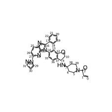 C=CC(=O)N1CCC(N[C@H]2COc3cc(-n4c(-c5ccccc5)nc5ccc(-n6cccn6)nc54)ccc32)CC1